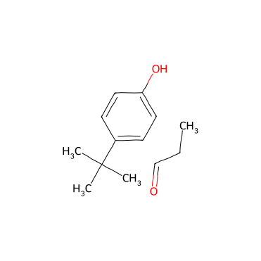 CC(C)(C)c1ccc(O)cc1.CCC=O